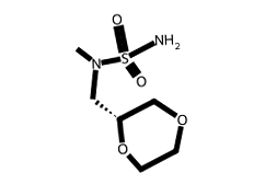 CN(C[C@@H]1COCCO1)S(N)(=O)=O